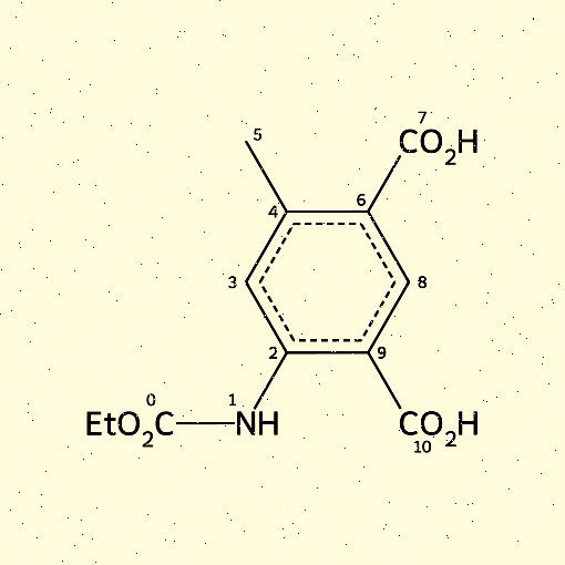 CCOC(=O)Nc1cc(C)c(C(=O)O)cc1C(=O)O